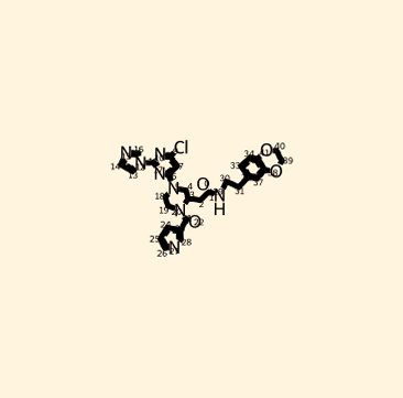 O=C(CC1CN(c2cc(Cl)nc(-n3ccnc3)n2)CCN1C(=O)c1cccnc1)NCCc1ccc2c(c1)OCCO2